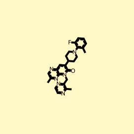 Cc1cnc2cc(C3CCN(c4c(C)cccc4F)CC3)c(=O)n(Cc3nccnc3C)c2n1